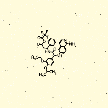 CCOc1cc(C(Nc2ccc3c(N)nccc3c2)C(=O)NC(CC(=O)OC(=O)C(F)(F)F)c2ccccc2)ccc1OC(C)C